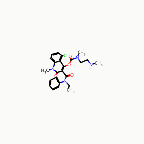 CCN(C(=O)c1c(OC(=O)N(C)CCNC)c2c(Cl)cccc2n(C)c1=O)c1ccccc1